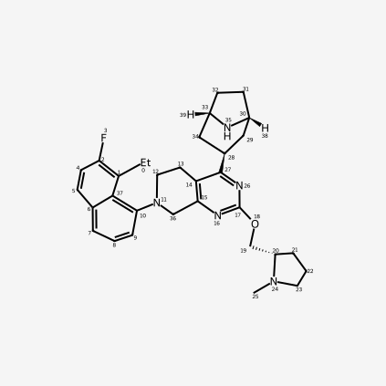 CCc1c(F)ccc2cccc(N3CCc4c(nc(OC[C@@H]5CCCN5C)nc4[C@@H]4C[C@H]5CC[C@@H](C4)N5)C3)c12